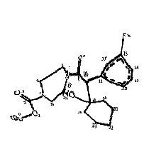 CC(C)(C)OC(=O)N1CCN(C(=O)C(c2cccc(F)c2)C2(O)CCCCC2)CC1